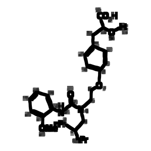 CCCC(CCC)CN(CCOc1ccc(CC(OCC)C(=O)O)cc1)C(=O)Nc1ccccc1OC